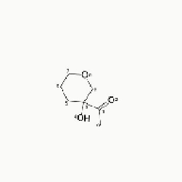 CC(=O)C1(O)CCCOC1